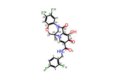 O=C(NCc1ccc(F)cc1F)c1cn2c(c(O)c1=O)C(=O)N1C[C@H]2COc2cc(F)c(F)cc21